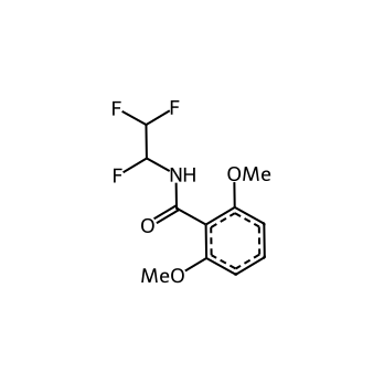 COc1cccc(OC)c1C(=O)NC(F)C(F)F